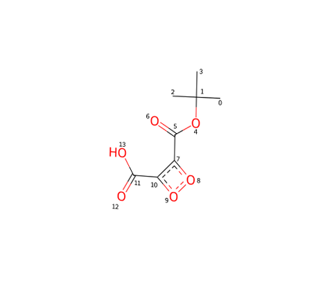 CC(C)(C)OC(=O)c1ooc1C(=O)O